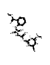 COC(=O)c1ccccc1OS(=O)(=O)NC(=O)Nc1nc(C)cc(OC)n1